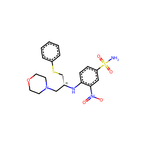 NS(=O)(=O)c1ccc(N[C@@H](CSc2ccccc2)CN2CCOCC2)c([N+](=O)[O-])c1